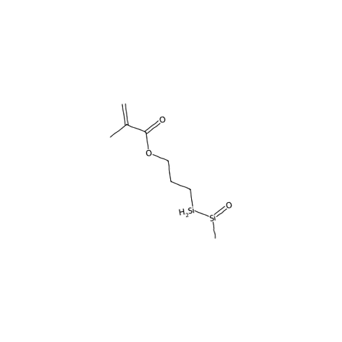 C=C(C)C(=O)OCCC[SiH2][Si](C)=O